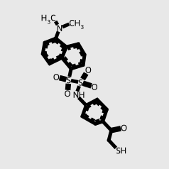 CN(C)c1cccc2c(S(=O)(=O)S(=O)(=O)Nc3ccc(C(=O)CS)cc3)cccc12